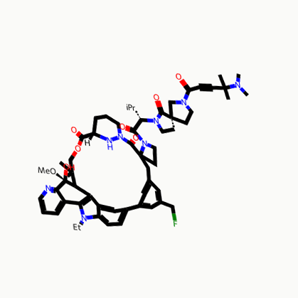 CCn1c2c3c4cc(ccc41)-c1cc(CF)cc(c1)CC1(CCN1C(=O)[C@H](C(C)C)N1CC[C@]4(CCN(C(=O)C#CC(C)(C)N(C)C)C4)C1=O)C(=O)N1CCC[C@H](N1)C(=O)OCC(C)(C)C3[C@](O)(OC)c1ncccc1-2